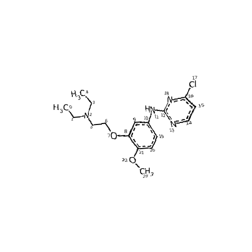 CCN(CC)CCOc1cc(Nc2nccc(Cl)n2)ccc1OC